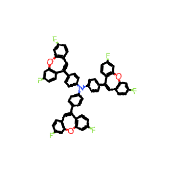 Fc1ccc2c(c1)Oc1cc(F)ccc1C(c1ccc(N(c3ccc(C4=Cc5ccc(F)cc5Oc5cc(F)ccc54)cc3)c3ccc(C4=Cc5ccc(F)cc5Oc5cc(F)ccc54)cc3)cc1)=C2